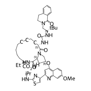 CC[C@]1(C(=O)O)CCCCCCCC[C@H](NC(=O)N[C@H](CN2CCc3ccccc3C2=O)C(C)(C)C)C(=O)N2C[C@H](Oc3cc(-c4csc(NC(C)C)n4)nc4cc(OC)ccc34)C[C@H]2C(=O)N1